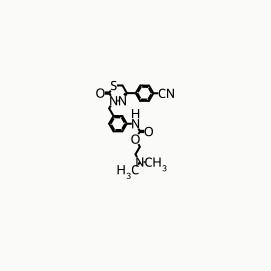 CN(C)CCOC(=O)Nc1cccc(CN2N=C(c3ccc(C#N)cc3)CSC2=O)c1